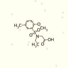 CCN(CC(=O)O)S(=O)(=O)c1cc(C)ccc1OC